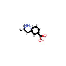 C[C@@H](N)Cc1cccc(C(=O)O)c1